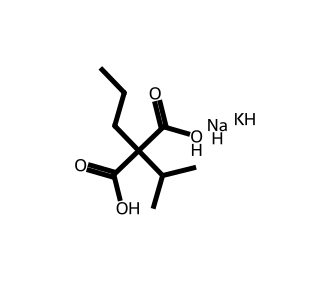 CCCC(C(=O)O)(C(=O)O)C(C)C.[KH].[NaH]